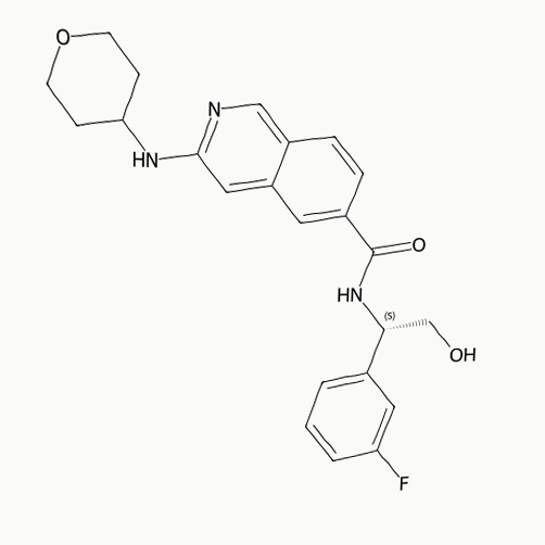 O=C(N[C@H](CO)c1cccc(F)c1)c1ccc2cnc(NC3CCOCC3)cc2c1